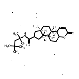 CC(C)(C)CC(C)(C)NC(=O)C1C[C@H]2[C@@H]3CCC4SC(=O)C=C[C@]4(C)[C@@H]3CC[C@]2(C)C1